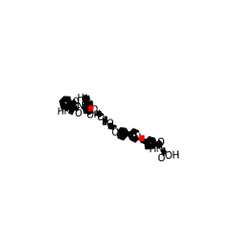 CC(C)(C)c1cc(OCCOCCOCCOc2ccc(C3CCN(CCc4ccc(C(=O)NCC(=O)O)cc4)CC3)cc2)c(O)cc1NC(=O)c1c[nH]c2ccccc2c1=O